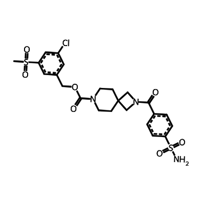 CS(=O)(=O)c1cc(Cl)cc(COC(=O)N2CCC3(CC2)CN(C(=O)c2ccc(S(N)(=O)=O)cc2)C3)c1